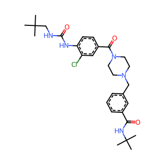 CC(C)(C)CNC(=O)Nc1ccc(C(=O)N2CCN(Cc3cccc(C(=O)NC(C)(C)C)c3)CC2)cc1Cl